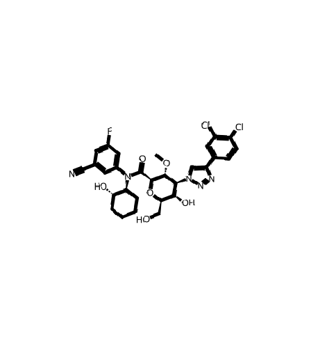 CO[C@@H]1[C@@H](n2cc(-c3ccc(Cl)c(Cl)c3)nn2)[C@@H](O)[C@@H](CO)O[C@H]1C(=O)N(c1cc(F)cc(C#N)c1)[C@H]1CCCC[C@@H]1O